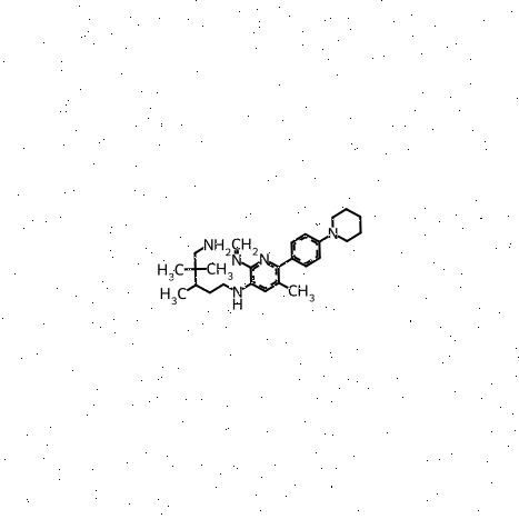 C=Nc1nc(-c2ccc(N3CCCCC3)cc2)c(C)cc1NCCC(C)C(C)(C)CN